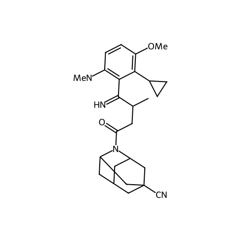 CNc1ccc(OC)c(C2CC2)c1C(=N)C(C)CC(=O)N1C2CC3CC1CC(C#N)(C3)C2